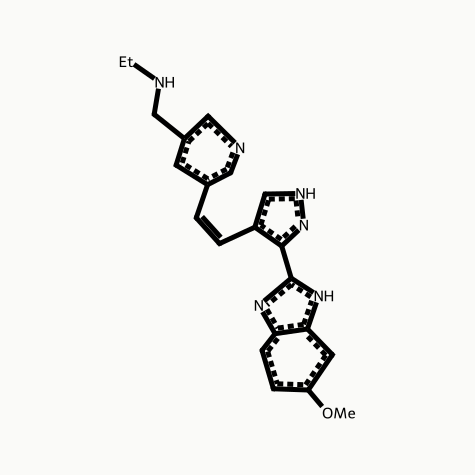 CCNCc1cncc(/C=C\c2c[nH]nc2-c2nc3ccc(OC)cc3[nH]2)c1